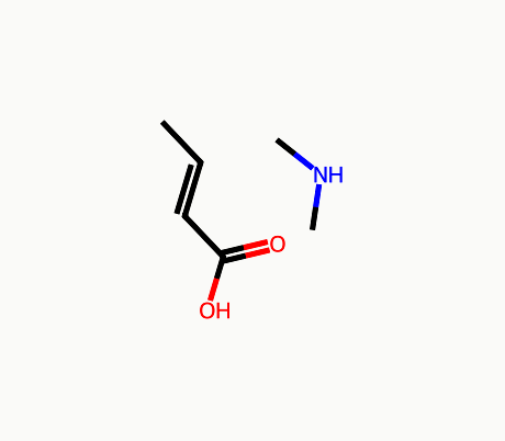 CC=CC(=O)O.CNC